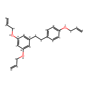 C=CCOc1ccc(CCc2cc(OCC=C)cc(OCC=C)c2)cc1